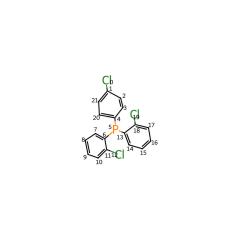 Clc1ccc(P(c2ccccc2Cl)c2ccccc2Cl)cc1